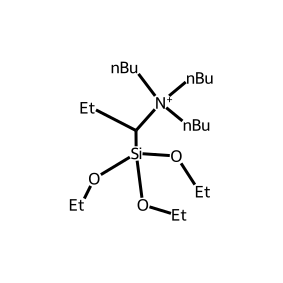 CCCC[N+](CCCC)(CCCC)C(CC)[Si](OCC)(OCC)OCC